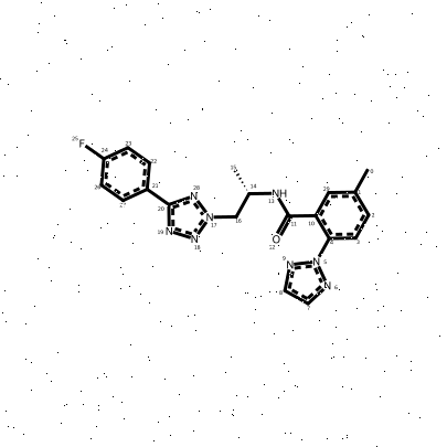 Cc1ccc(-n2nccn2)c(C(=O)N[C@@H](C)Cn2nnc(-c3ccc(F)cc3)n2)c1